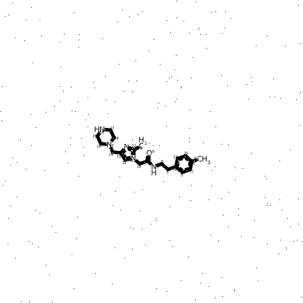 Cc1ccc(CCNC(=O)Cn2cc(CN3CCNCC3)nc2C)cc1